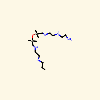 CCCNCCNC[Si](C)(C)O[Si](C)(C)CNCCNCCN